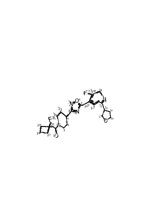 O=C(N1CCC(c2noc(-c3cc(C4CCOC4)ncc3F)n2)CC1)C1(F)CCC1